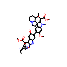 C/C=C1\CN2CCC34C5=CC(=O)C(c6cc7c(cc6OC)N(C)C6=C(C(=O)OC)CC8(CC)CCCN9CCC67C98)=CC5=NC23CCC1C4C(=O)OC